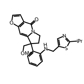 COCC1(c2ccccc2NCc2cnc(C(C)C)s2)CCn2c1cc1occc1c2=O